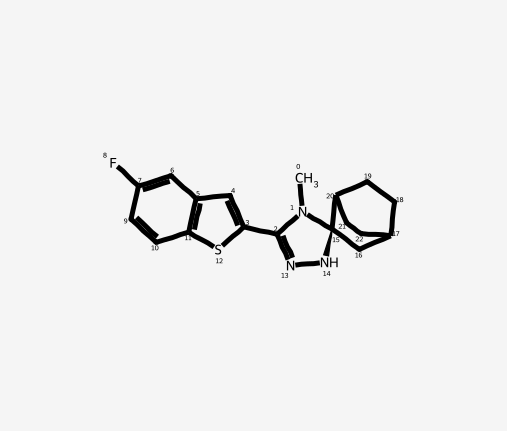 CN1C(c2cc3cc(F)ccc3s2)=NN[C@@]12CC1CCC2CC1